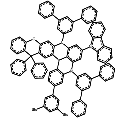 CC(C)(C)c1cc(-c2ccc3c(c2)N(c2cc(-c4ccccc4)cc(-c4ccccc4)c2)c2cc(-n4c5ccccc5c5ccccc54)cc4c2B3c2cc3c(cc2N4c2cc(-c4ccccc4)cc(-c4ccccc4)c2)Oc2ccccc2C3(c2ccccc2)c2ccccc2)cc(C(C)(C)C)c1